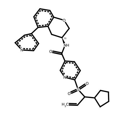 C=CC(C1CCCC1)S(=O)(=O)c1ccc(C(=O)N[C@@H]2COc3cccc(-c4ccncc4)c3C2)cn1